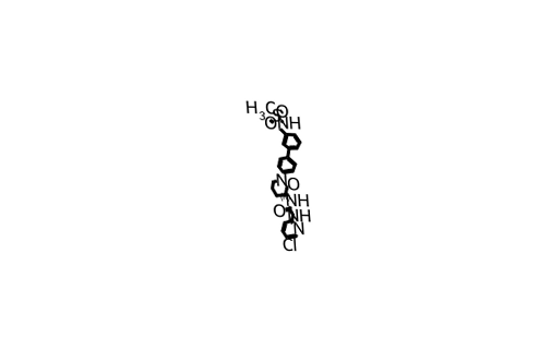 CS(=O)(=O)NCc1cccc(-c2ccc(N3CCC[C@@H](NC(=O)Nc4ccc(Cl)cn4)C3=O)cc2)c1